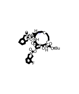 Cc1ccccc1CS(=O)(=O)NC(=O)[C@@]12C[C@H]1/C=C\CCCCC[C@H](NC(=O)OC(C)(C)C)C(=O)N1C[C@H](OC(=O)N3Cc4cccc(F)c4C3)C[C@H]1C(=O)N2